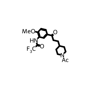 COc1ccc(C(=O)CCC2CCN(C(C)=O)CC2)cc1NC(=O)C(F)(F)F